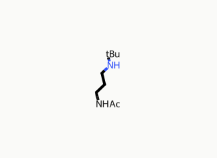 CC(=O)NCCCNC(C)(C)C